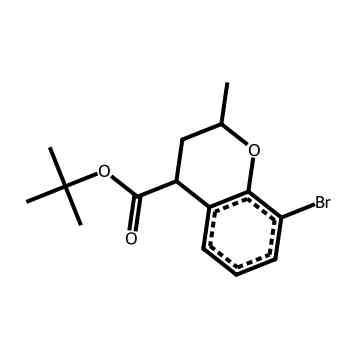 CC1CC(C(=O)OC(C)(C)C)c2cccc(Br)c2O1